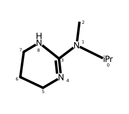 CC(C)N(C)C1=NCCCN1